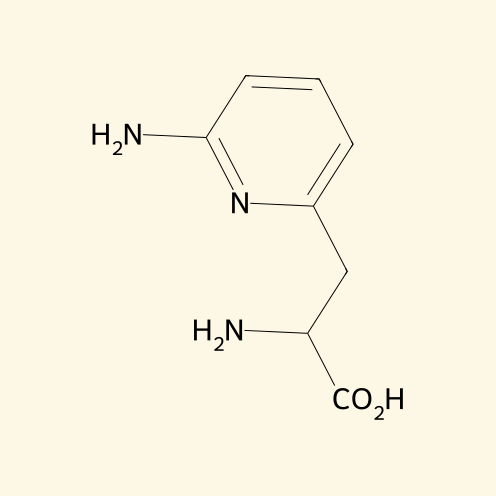 Nc1cccc(CC(N)C(=O)O)n1